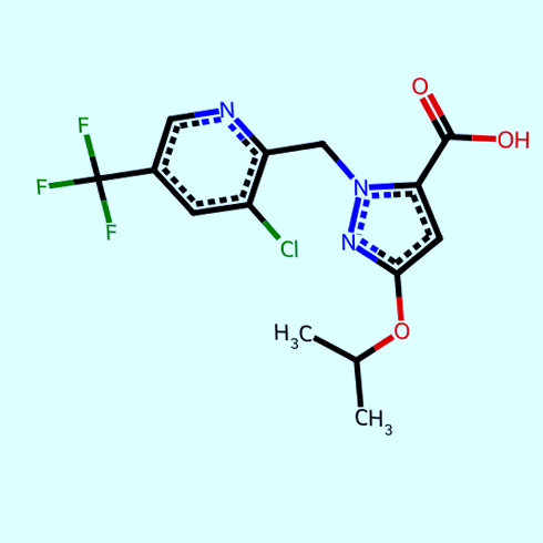 CC(C)Oc1cc(C(=O)O)n(Cc2ncc(C(F)(F)F)cc2Cl)n1